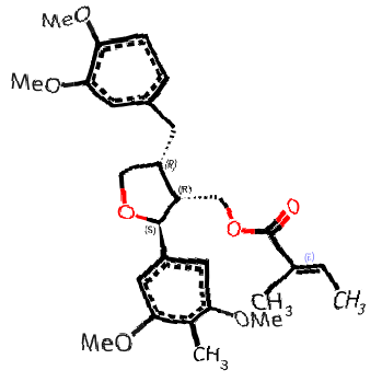 C/C=C(\C)C(=O)OC[C@H]1[C@@H](Cc2ccc(OC)c(OC)c2)CO[C@@H]1c1cc(OC)c(C)c(OC)c1